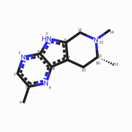 Cc1cnc2[nH]c3c(c2n1)C[C@@H](C)N(C)C3